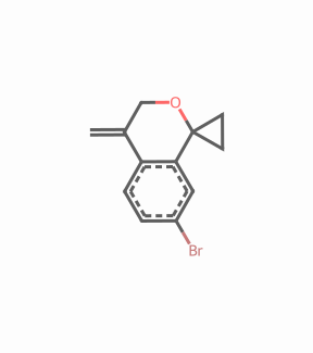 C=C1COC2(CC2)c2cc(Br)ccc21